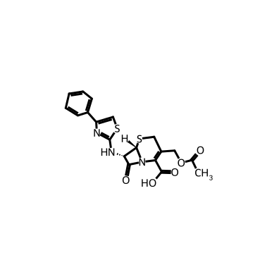 CC(=O)OCC1=C(C(=O)O)N2C(=O)[C@H](Nc3nc(-c4ccccc4)cs3)[C@@H]2SC1